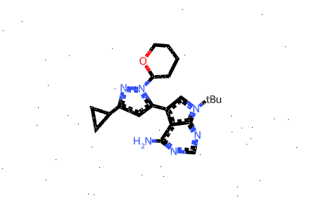 CC(C)(C)n1cc(-c2cc(C3CC3)nn2C2CCCCO2)c2c(N)ncnc21